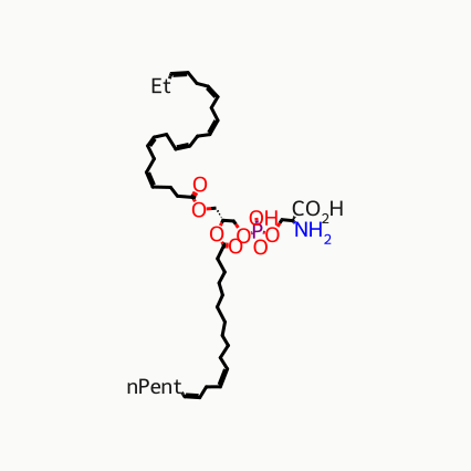 CC/C=C\C/C=C\C/C=C\C/C=C\C/C=C\C/C=C\CCC(=O)OC[C@H](COP(=O)(O)OC[C@H](N)C(=O)O)OC(=O)CCCCCCCCC/C=C\C/C=C\CCCCC